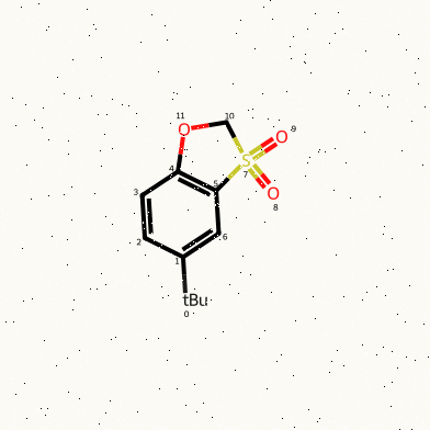 CC(C)(C)c1ccc2c(c1)S(=O)(=O)CO2